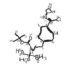 BC(B)(B)N(Cc1ccc(/C(Cl)=N/O)cc1)C(=O)OC(C)(C)C